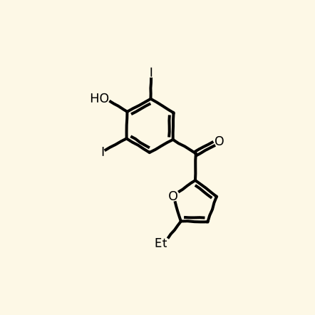 CCc1ccc(C(=O)c2cc(I)c(O)c(I)c2)o1